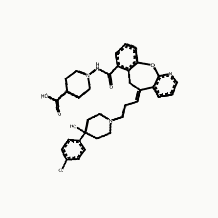 O=C(NN1CCC(C(=O)O)CC1)c1cccc2c1CC(=CCCN1CCC(O)(c3ccc(Cl)cc3)CC1)c1cccnc1O2